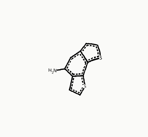 Nc1cc2ccsc2c2sccc12